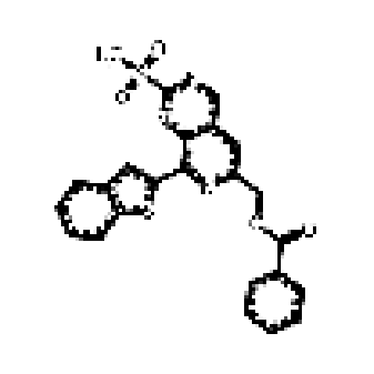 CS(=O)(=O)c1ncc2cc(COC(=O)c3ccccc3)nc(-c3cc4ccccc4s3)c2n1